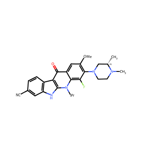 COc1cc2c(=O)c3c4ccc(C#N)cc4[nH]c3n(C(C)C)c2c(F)c1N1CCN(C)[C@@H](C)C1